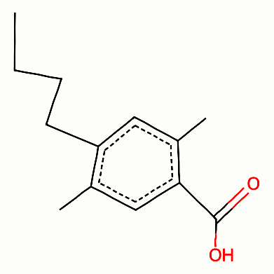 CCCCc1cc(C)c(C(=O)O)cc1C